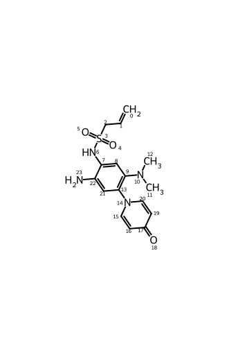 C=CCS(=O)(=O)Nc1cc(N(C)C)c(-n2ccc(=O)cc2)cc1N